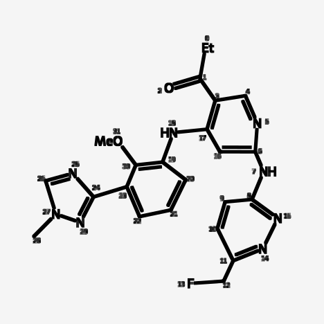 CCC(=O)c1cnc(Nc2ccc(CF)nn2)cc1Nc1cccc(-c2ncn(C)n2)c1OC